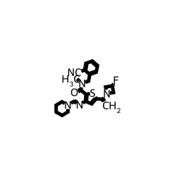 C=C(c1cc(/N=C/N2CCCCC2)c(C(=O)N(C)Cc2ccccc2C#N)s1)N1CC(F)C1